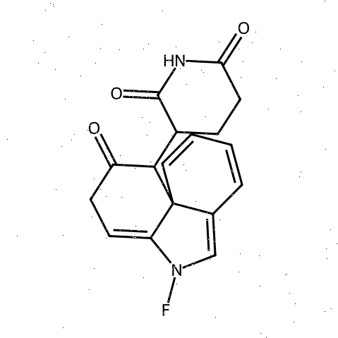 O=C1CCC(C2C(=O)CC=C3N(F)C=C4C=CC=CC432)C(=O)N1